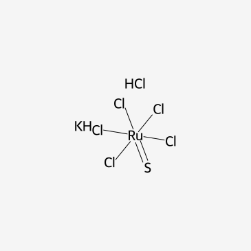 Cl.[KH].[S]=[Ru]([Cl])([Cl])([Cl])([Cl])[Cl]